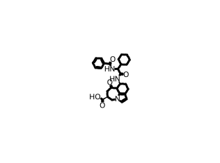 O=C(NC(C(=O)N[C@H]1CCc2ccn3c2C1C(=O)C[C@H](C(=O)O)C3)C1CCCCC1)c1ccccc1